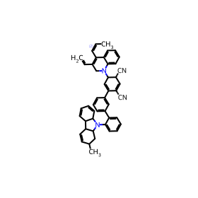 C=CC1=C(/C=C\C)c2ccccc2N(C2C=C(c3cccc(-c4ccccc4N4C5C=CC=CC5C5C=CC(C)CC54)c3)C(C#N)=CC2C#N)C1